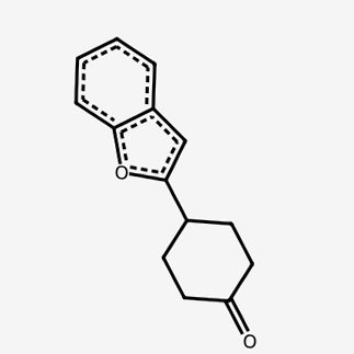 O=C1CCC(c2cc3ccccc3o2)CC1